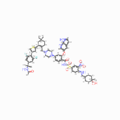 CC(=O)NC(C)(C)c1cc(F)c(-c2csc(C3=C(CN4CCN(c5ccc(C(=O)NS(=O)(=O)c6ccc(NCC7CCC(C)(O)CC7)c([N+](=O)[O-])c6)c(Oc6cnc7[nH]ccc7c6)c5)CC4)CCC(C)(C)C3)c2)c(F)c1